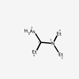 CCC([AsH2])N(CC)CC